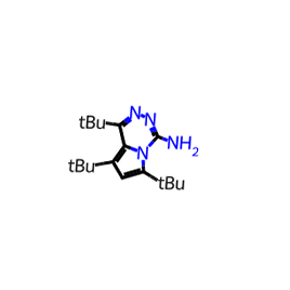 CC(C)(C)c1cc(C(C)(C)C)n2c(N)nnc(C(C)(C)C)c12